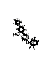 C[C@@]12C=C[C@@](C)(N1)[C@H](F)[C@@H](Oc1ncc(-c3ccc(-n4ccnn4)cc3O)nn1)C2